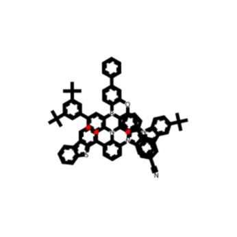 CC(C)(C)c1cc(-c2ccc3c(c2)B2c4ccc(-c5ccccc5)cc4Oc4cc(-n5c6ccc(C#N)cc6c6cc(C(C)(C)C)ccc65)cc(c42)N3c2c(-c3cccc4c3sc3ccccc34)cccc2-n2c3ccccc3c3ccccc32)cc(C(C)(C)C)c1